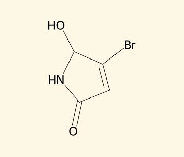 O=C1C=C(Br)C(O)N1